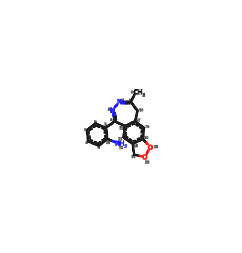 CC1=NN=C(c2ccccc2N)c2cc3c(cc2C1)OOC3